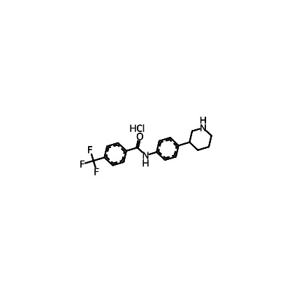 Cl.O=C(Nc1ccc(C2CCCNC2)cc1)c1ccc(C(F)(F)F)cc1